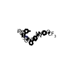 Cc1ccc(C(C)C)c(N2C(=O)CS/C2=C\C(=O)NC2CCCCC2c2ccc(-c3ncn(-c4ccc(OC(F)(F)F)cc4)n3)cc2)c1